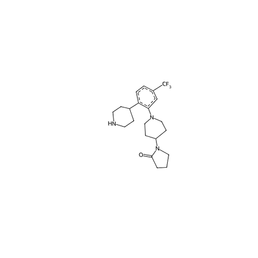 O=C1CCCN1C1CCN(c2cc(C(F)(F)F)ccc2C2CCNCC2)CC1